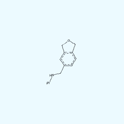 CC(C)NCc1ccc2c(c1)COC2